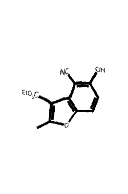 CCOC(=O)c1c(C)oc2ccc(O)c(C#N)c12